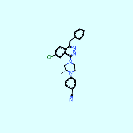 C[C@@H]1CN(c2nnc(Cc3ccccc3)c3ccc(Cl)cc23)CCN1c1ccc(C#N)cc1